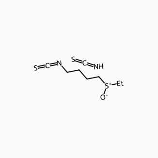 CC[S+]([O-])CCCCN=C=S.N=C=S